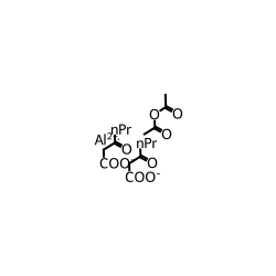 CC(=O)OC(C)=O.CCCC(=O)CC(=O)[O-].CCCC(=O)CC(=O)[O-].[Al+2]